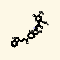 Nc1nc(N)c(C(=O)/C=C2\NCC3(CCN(C(=O)CCC4CNc5ccccc54)CC3)N2)nc1Cl